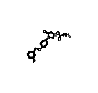 NC(=O)O[C@H]1CC(=O)N(c2ccc(OCc3cccc(F)c3)cc2)C1